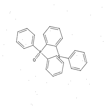 O=P(c1ccccc1)(c1ccccc1)c1ccccc1Sc1ccccc1